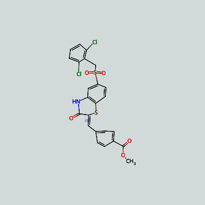 COC(=O)c1ccc(/C=C2\Sc3ccc(S(=O)(=O)Cc4c(Cl)cccc4Cl)cc3NC2=O)cc1